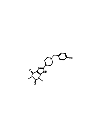 Cn1c(=O)c2nc(N3CCN(Cc4ccc(O)cc4)CC3)[nH]c2n(C)c1=O